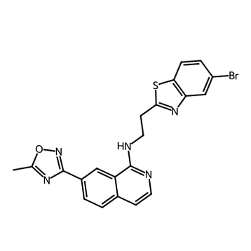 Cc1nc(-c2ccc3ccnc(NCCc4nc5cc(Br)ccc5s4)c3c2)no1